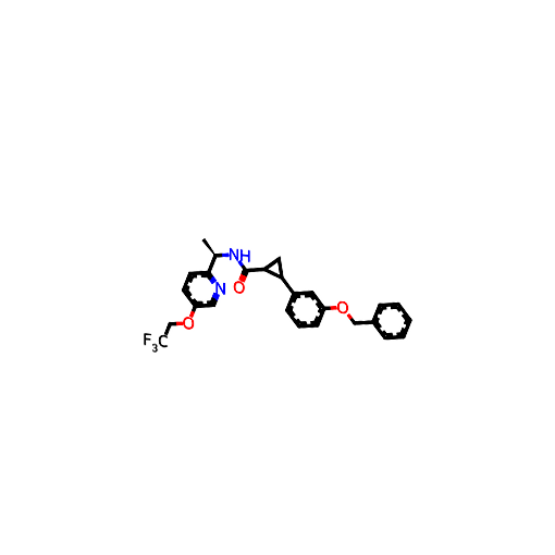 C[C@@H](NC(=O)C1CC1c1cccc(OCc2ccccc2)c1)c1ccc(OCC(F)(F)F)cn1